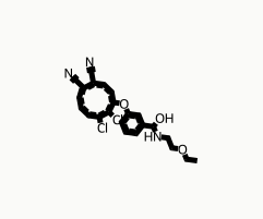 CCOCCNC(O)c1cccc(Oc2ccc(C#N)c(C#N)cccc(Cl)c2Cl)c1